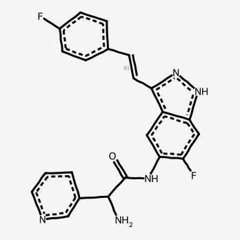 NC(C(=O)Nc1cc2c(/C=C/c3ccc(F)cc3)n[nH]c2cc1F)c1cccnc1